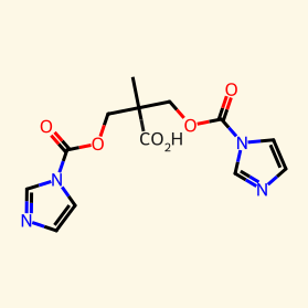 CC(COC(=O)n1ccnc1)(COC(=O)n1ccnc1)C(=O)O